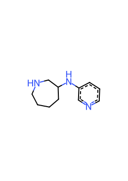 c1cncc(NC2CCCCNC2)c1